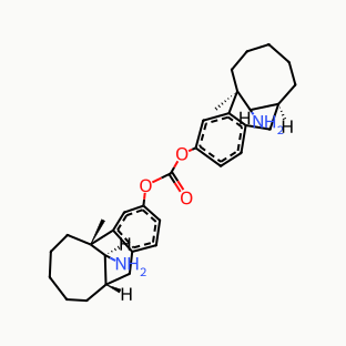 C[C@@]12CCCCC[C@@H](Cc3ccc(OC(=O)Oc4ccc5c(c4)[C@@]4(C)CCCCC[C@@H](C5)[C@@H]4N)cc31)[C@@H]2N